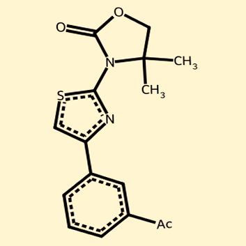 CC(=O)c1cccc(-c2csc(N3C(=O)OCC3(C)C)n2)c1